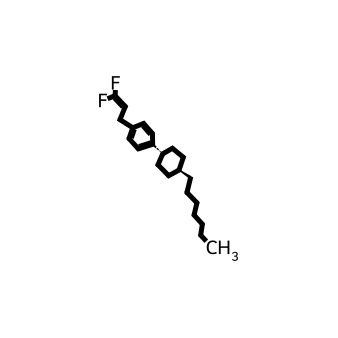 CCCCCCC[C@H]1CC[C@H](c2ccc(CC=C(F)F)cc2)CC1